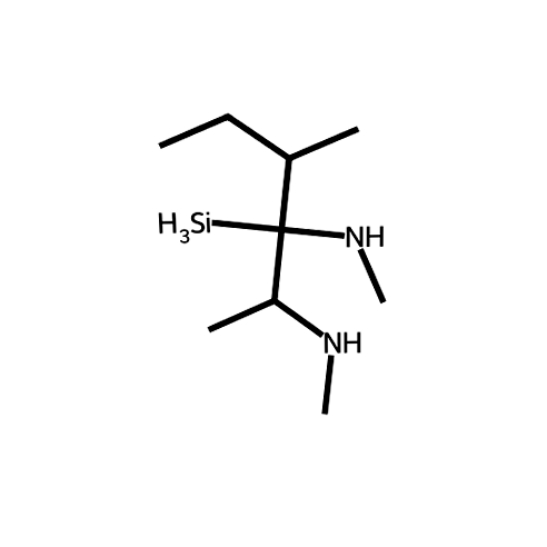 CCC(C)C([SiH3])(NC)C(C)NC